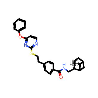 CC1(C)C2CCC(CNC(=O)c3ccc(CCSc4nccc(Oc5ccccc5)n4)cc3)C1C2